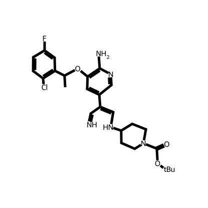 CC(Oc1cc(/C(C=N)=C/NC2CCN(C(=O)OC(C)(C)C)CC2)cnc1N)c1cc(F)ccc1Cl